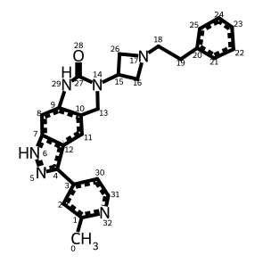 Cc1cc(-c2n[nH]c3cc4c(cc23)CN(C2CN(CCc3ccccc3)C2)C(=O)N4)ccn1